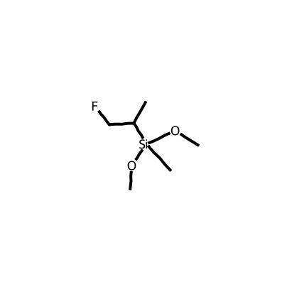 CO[Si](C)(OC)C(C)CF